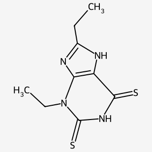 CCc1nc2c([nH]1)c(=S)[nH]c(=S)n2CC